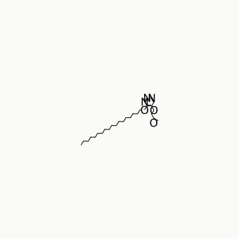 CCCCCCCCCCCCCCCCCCOc1nnncc1OCC1CO1